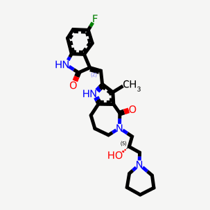 Cc1c(/C=C2\C(=O)Nc3ccc(F)cc32)[nH]c2c1C(=O)N(C[C@@H](O)CN1CCCCC1)CCC2